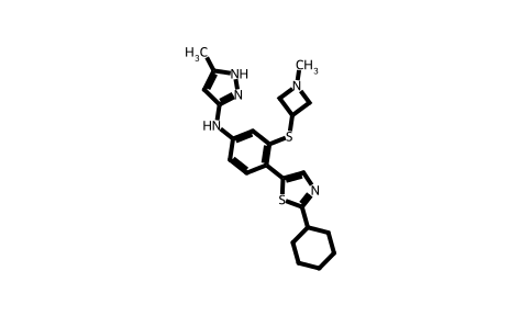 Cc1cc(Nc2ccc(-c3cnc(C4CCCCC4)s3)c(SC3CN(C)C3)c2)n[nH]1